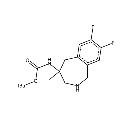 CC1(NC(=O)OC(C)(C)C)CNCc2cc(F)c(F)cc2C1